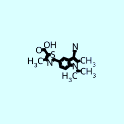 Cc1nc(-c2ccc3c(c2)c(C#N)c(C)n3C(C)C)sc1C(=O)O